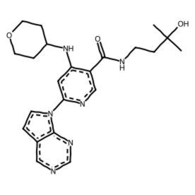 CC(C)(O)CCNC(=O)c1cnc(-n2ccc3cncnc32)cc1NC1CCOCC1